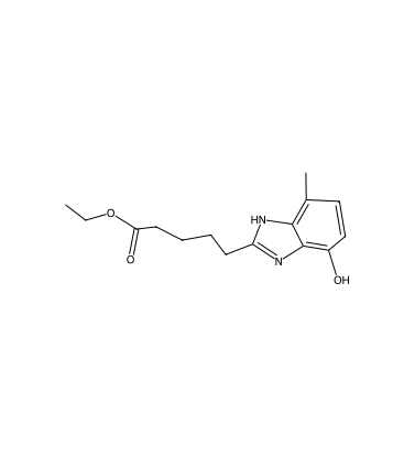 CCOC(=O)CCCCc1nc2c(O)ccc(C)c2[nH]1